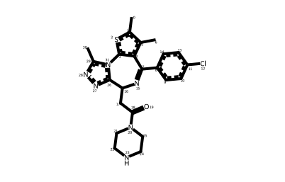 Cc1sc2c(c1C)C(c1ccc(Cl)cc1)=NC(CC(=O)N1CCNCC1)c1nnc(C)n1-2